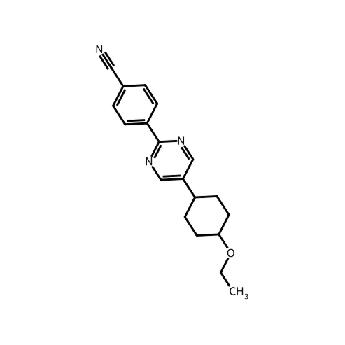 CCOC1CCC(c2cnc(-c3ccc(C#N)cc3)nc2)CC1